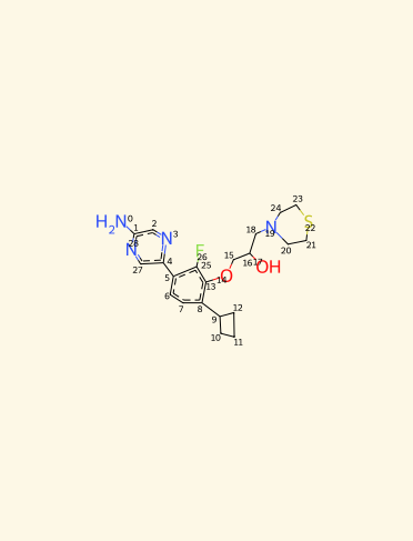 Nc1cnc(-c2ccc(C3CCC3)c(OCC(O)CN3CCSCC3)c2F)cn1